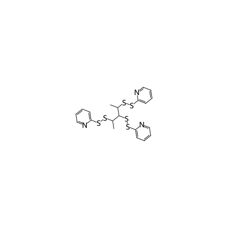 CC(SSc1ccccn1)C(SSc1ccccn1)C(C)SSc1ccccn1